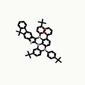 CC(C)(C)c1ccc(N2c3ccc(C(C)(C)C)cc3B3c4sc5cc6c(cc5c4N(c4ccc(C(C)(C)C)cc4)c4c(-c5ccccc5)ccc2c43)-c2ccccc2C6(C)C)cc1